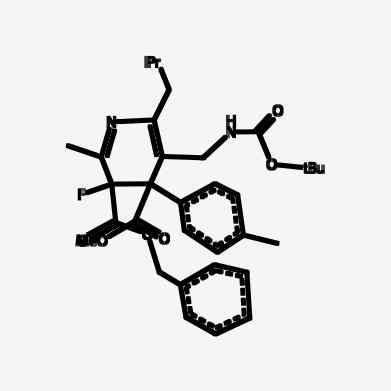 COC(=O)C1(c2ccc(C)cc2)C(CNC(=O)OC(C)(C)C)=C(CC(C)C)N=C(C)C1(F)C(=O)OCc1ccccc1